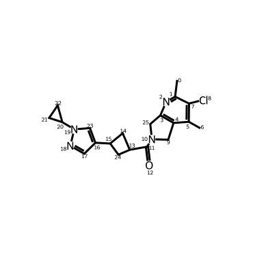 Cc1nc2c(c(C)c1Cl)CN(C(=O)C1CC(c3cnn(C4CC4)c3)C1)C2